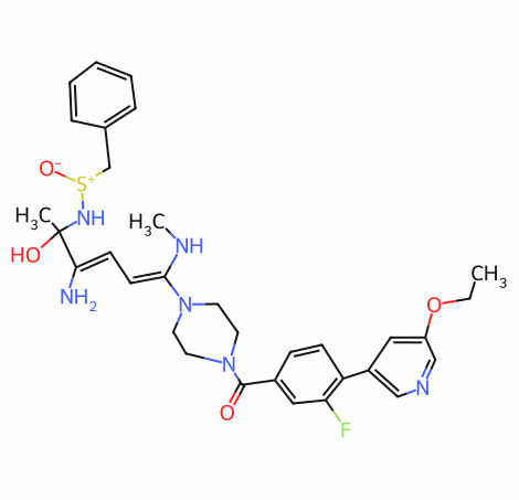 CCOc1cncc(-c2ccc(C(=O)N3CCN(/C(=C/C=C(\N)C(C)(O)N[S+]([O-])Cc4ccccc4)NC)CC3)cc2F)c1